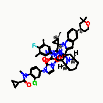 Cc1cc(-n2nc3c(c2-n2ccn(-c4ccc(N(C)C(=O)C5CC5)c(Cl)c4)c2=O)[C@@H]2CCC[C@H](C3)N2C(=O)c2cc3cc([C@H]4CCOC(C)(C)C4)ccc3n2[C@@]2(c3noc(=O)[nH]3)C[C@@H]2C)cc(C)c1F